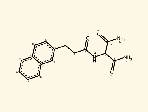 NC(=O)C(NC(=O)[CH]Cc1ccc2ccccc2c1)C(N)=O